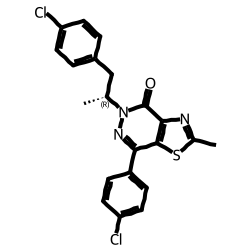 Cc1nc2c(=O)n([C@H](C)Cc3ccc(Cl)cc3)nc(-c3ccc(Cl)cc3)c2s1